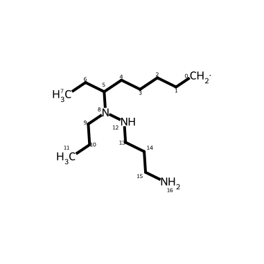 [CH2]CCCCC(CC)N(CCC)NCCCN